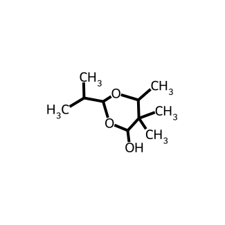 CC(C)C1OC(C)C(C)(C)C(O)O1